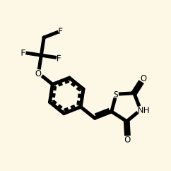 O=C1NC(=O)/C(=C/c2ccc(OC(F)(F)CF)cc2)S1